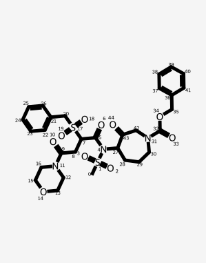 CS(=O)(=O)N(C(=O)C(CC(=O)N1CCOCC1)S(=O)(=O)Cc1ccccc1)C1CCCN(C(=O)OCc2ccccc2)CC1=O